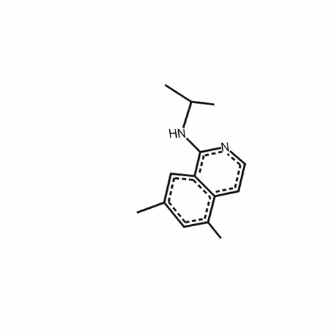 Cc1cc(C)c2ccnc(NC(C)C)c2c1